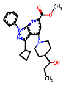 CCC(O)C1CCN(c2cc(C(=O)OC)nc3c2c(C2CCC2)nn3-c2ccccc2)CC1